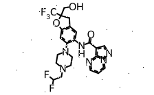 O=C(Nc1cc2c(cc1N1CCN(CC(F)F)CC1)OC(CO)(C(F)(F)F)C2)c1cnn2cccnc12